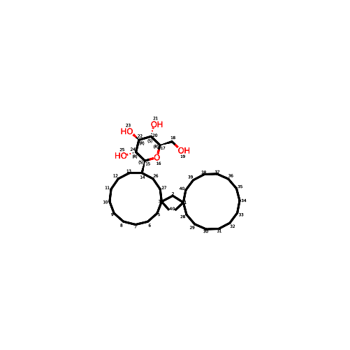 CC1(CC2(C)CCCCCCCCCC([C@@H]3O[C@H](CO)[C@@H](O)[C@H](O)[C@H]3O)CC2)CCCCCCCCCCCCC1